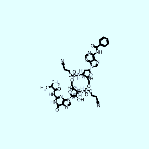 CC(C)C(=O)Nc1nc2c(ncn2[C@@H]2O[C@@H]3COP(=O)(OCCC#N)N[C@H]4C[C@H](n5cnc6c(NC(=O)c7ccccc7)ncnc65)O[C@@H]4COP(=O)(OCCC#N)N[C@H]3[C@H]2O)c(=O)[nH]1